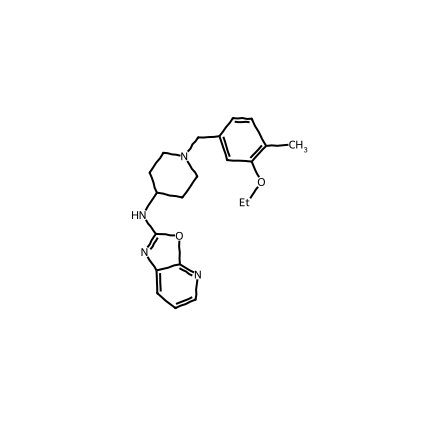 CCOc1cc(CN2CCC(Nc3nc4cccnc4o3)CC2)ccc1C